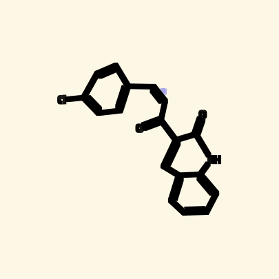 O=C(/C=C\c1ccc(Cl)cc1)c1cc2ccccc2[nH]c1=O